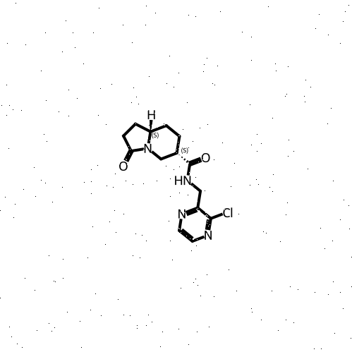 O=C(NCc1nccnc1Cl)[C@H]1CC[C@H]2CCC(=O)N2C1